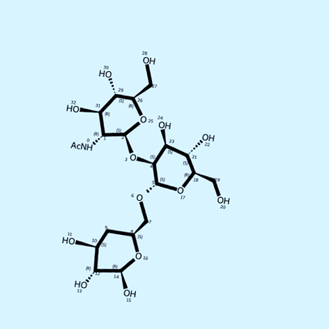 CC(=O)N[C@H]1[C@H](O[C@@H]2[C@@H](OC[C@@H]3C[C@H](O)[C@@H](O)[C@H](O)O3)O[C@H](CO)[C@@H](O)[C@@H]2O)O[C@H](CO)[C@@H](O)[C@@H]1O